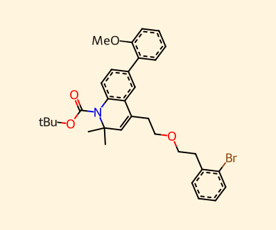 COc1ccccc1-c1ccc2c(c1)C(CCOCCc1ccccc1Br)=CC(C)(C)N2C(=O)OC(C)(C)C